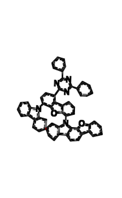 c1ccc(-c2nc(-c3ccccc3)nc(-c3ccc(-n4c5ccccc5c5ccccc54)c4oc5c(-n6c7ccccc7c7ccc8c9ccccc9oc8c76)cccc5c34)n2)cc1